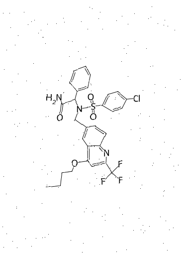 CCCCOc1cc(C(F)(F)F)nc2ccc(CN(C(C(N)=O)c3ccccc3)S(=O)(=O)c3ccc(Cl)cc3)cc12